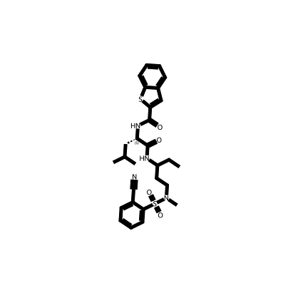 CCC(CCN(C)S(=O)(=O)c1ccccc1C#N)NC(=O)[C@H](CC(C)C)NC(=O)c1cc2ccccc2s1